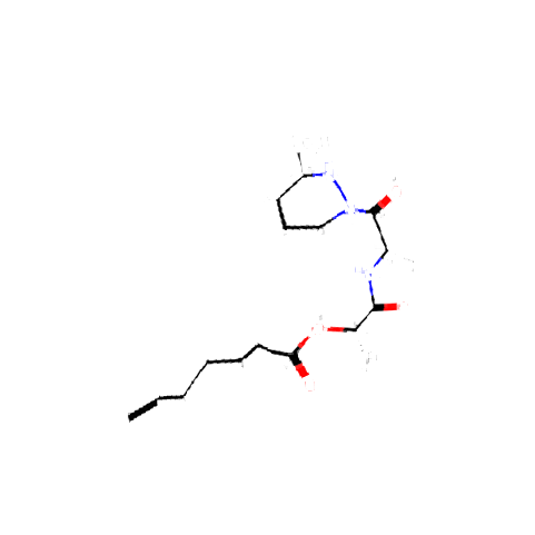 C=CCCCCC(=O)O[C@H](C(=O)N[C@@H](C)C(=O)N1CCC[C@@H](C(=O)O)N1)C(C)C